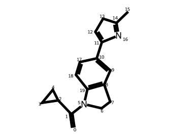 C=C(C1CC1)N1CCc2cc(C3=CCC(C)=N3)ccc21